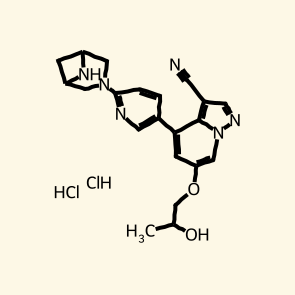 CC(O)COc1cc(-c2ccc(N3CC4CC(C3)N4)nc2)c2c(C#N)cnn2c1.Cl.Cl